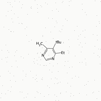 CCc1ncnc(C)c1C(C)(C)C